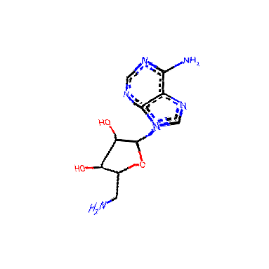 NCC1OC(n2cnc3c(N)ncnc32)C(O)C1O